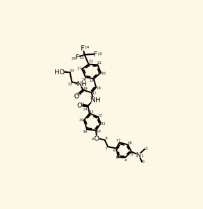 CN(C)c1ccc(CCOc2ccc(C(=O)N/C(=C/c3ccc(C(F)(F)F)cc3)C(=O)NCCO)cc2)cc1